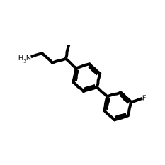 CC(CCN)c1ccc(-c2cccc(F)c2)cc1